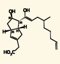 C=CCCCC(C)CC=C(O)[C@@H]1[C@@H]2CC(CC(=O)O)=C[C@@H]2C[C@H]1O